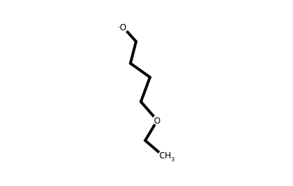 CCOCCCC[O]